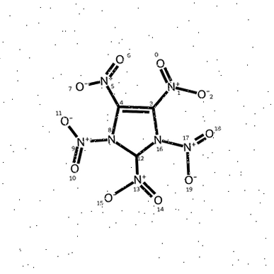 O=[N+]([O-])C1=C([N+](=O)[O-])N([N+](=O)[O-])C([N+](=O)[O-])N1[N+](=O)[O-]